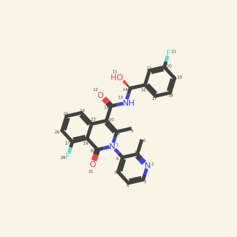 Cc1ncccc1-n1c(C)c(C(=O)N[C@@H](O)c2cccc(F)c2)c2cccc(F)c2c1=O